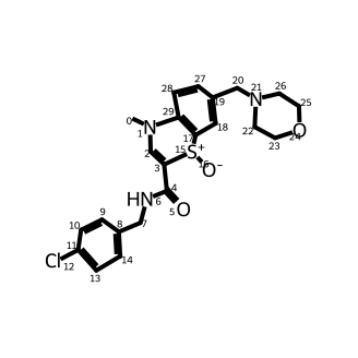 CN1C=C(C(=O)NCc2ccc(Cl)cc2)[S+]([O-])c2cc(CN3CCOCC3)ccc21